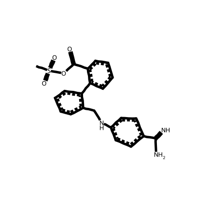 CS(=O)(=O)OC(=O)c1ccccc1-c1ccccc1CNc1ccc(C(=N)N)cc1